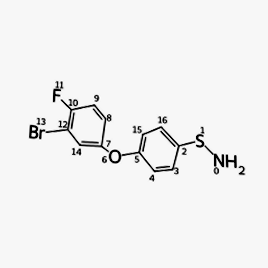 NSc1ccc(Oc2ccc(F)c(Br)c2)cc1